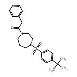 CC(C)(C)c1ccc(S(=O)(=O)N2CCCN(C(=O)Cc3ccccc3)CC2)cc1